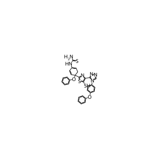 NC(=S)NC1=CCC(Oc2ccccc2)(c2nc(-c3nncn3-c3ccc(Oc4ccccc4)cc3)c(S)s2)C=C1